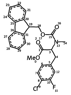 COC(=O)C(Cc1ccc(Cl)c(F)c1)N(C)C(=O)OCC1c2ccccc2-c2ccccc21